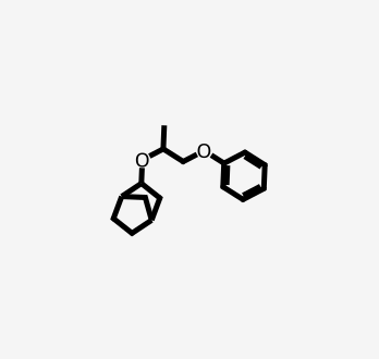 CC(COc1ccccc1)OC1CC2CCC1C2